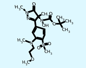 COCCN(C)c1cc(C2=NN(C)C(=O)C2(C)N(O)C(=O)OC(C)(C)C)ccc1S(C)(=O)=O